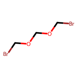 BrCOCOCBr